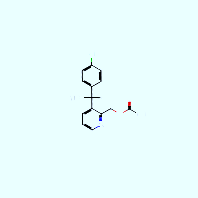 CC(=O)OCc1ncccc1C(C)(C)c1ccc(Cl)cc1